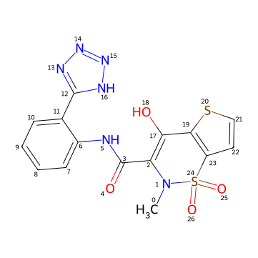 CN1C(C(=O)Nc2ccccc2-c2nnn[nH]2)=C(O)c2sccc2S1(=O)=O